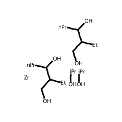 CC(C)O.CC(C)O.CCCC(O)C(CC)CO.CCCC(O)C(CC)CO.[Zr]